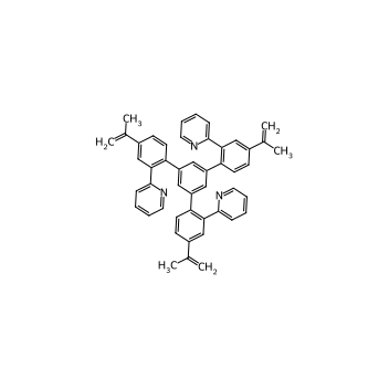 C=C(C)c1ccc(-c2cc(-c3ccc(C(=C)C)cc3-c3ccccn3)cc(-c3ccc(C(=C)C)cc3-c3ccccn3)c2)c(-c2ccccn2)c1